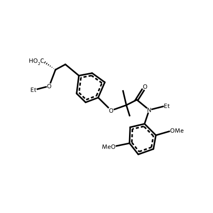 CCO[C@@H](Cc1ccc(OC(C)(C)C(=O)N(CC)c2cc(OC)ccc2OC)cc1)C(=O)O